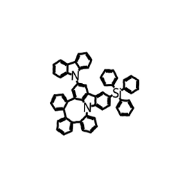 c1ccc([Si](c2ccccc2)(c2ccccc2)c2ccc3c(c2)c2cc(-n4c5ccccc5c5ccccc54)cc4c5ccccc5c5ccccc5c5ccccc5n3c42)cc1